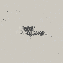 C=C(NCCCCCCOP(O)(=S)OC)c1ccc(C(=O)O)c(-c2c3ccc(=O)cc-3oc3cc(O)ccc23)c1